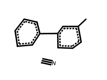 C#N.Cc1cccc(-c2ccccc2)c1